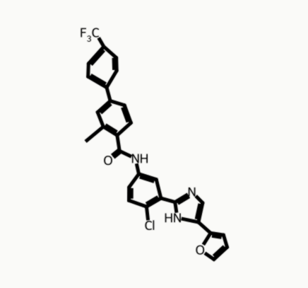 Cc1cc(-c2ccc(C(F)(F)F)cc2)ccc1C(=O)Nc1ccc(Cl)c(-c2ncc(-c3ccco3)[nH]2)c1